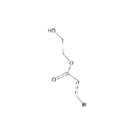 O=C(C=CBr)OCCO